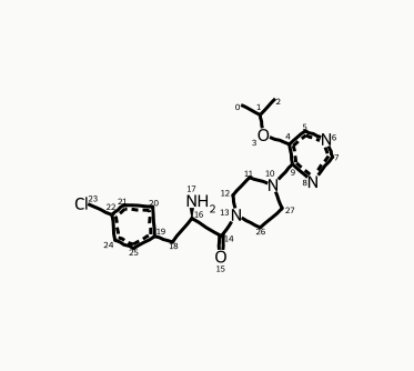 CC(C)Oc1cncnc1N1CCN(C(=O)[C@H](N)Cc2ccc(Cl)cc2)CC1